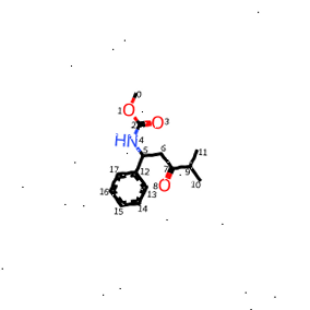 COC(=O)NC(CC(=O)C(C)C)c1ccccc1